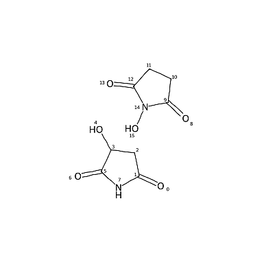 O=C1CC(O)C(=O)N1.O=C1CCC(=O)N1O